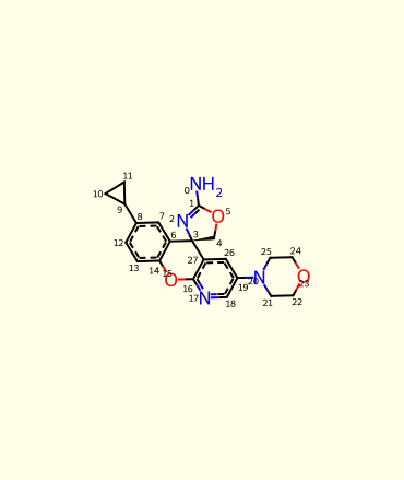 NC1=N[C@@]2(CO1)c1cc(C3CC3)ccc1Oc1ncc(N3CCOCC3)cc12